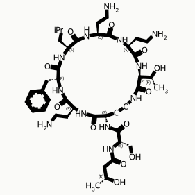 CC(C)C[C@@H]1NC(=O)[C@@H](Cc2ccccc2)NC(=O)[C@H](CCN)NC(=O)[C@@H](NC(=O)[C@H](CO)NC(=O)C[C@@H](C)O)CCNC(=O)[C@H]([C@@H](C)O)NC(=O)[C@H](CCN)NC(=O)[C@H](CCN)NC1=O